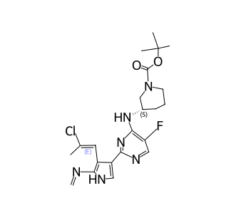 C=Nc1[nH]cc(-c2ncc(F)c(N[C@H]3CCCN(C(=O)OC(C)(C)C)C3)n2)c1/C=C(\C)Cl